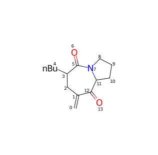 C=C1CC(CCCC)C(=O)N2CCCC2C1=O